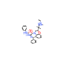 CC(C)(C)C(=O)CN1C(=O)[C@H](NC(=O)Nc2ccccc2)N=C(c2ccccc2)c2ccccc21.CCNC